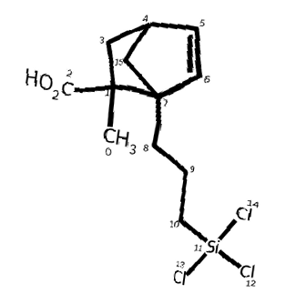 CC1(C(=O)O)CC2C=CC1(CCC[Si](Cl)(Cl)Cl)C2